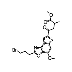 COC(=O)C(C)CC(=O)c1cc2c(cc(OC)c3oc(CCCBr)nc32)s1